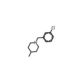 CC1CCN(Cc2cccc(Cl)c2)CC1